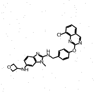 Cn1c(NCc2ccc(Oc3ncc4cccc(Cl)c4n3)cc2)nc2ccc(NC3COC3)cc21